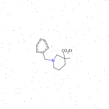 CCOC(=O)C1(C)CCCN(Cc2ccccc2)C1